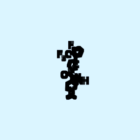 C=C(C)N1CCc2c(C(=O)N3CCC(c4cccc(F)c4C(F)(F)F)CC3)n[nH]c2C1